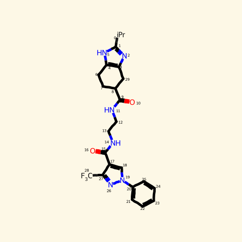 CC(C)c1nc2c([nH]1)CCC(C(=O)NCCNC(=O)c1cn(-c3ccccc3)nc1C(F)(F)F)C2